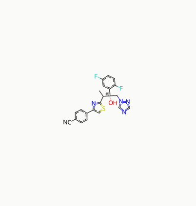 CC(c1nc(-c2ccc(C#N)cc2)cs1)[C@](O)(Cn1cncn1)c1cc(F)ccc1F